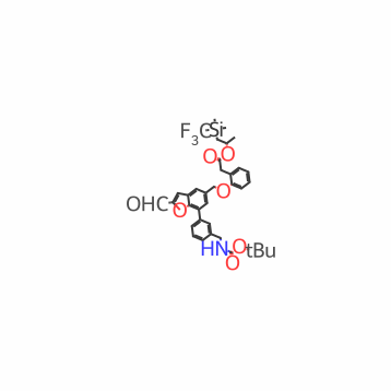 CC(C[Si](C)(C)C(F)(F)F)OC(=O)Cc1ccccc1OCc1cc(-c2cccc(CNC(=O)OC(C)(C)C)c2)c2oc(C=O)cc2c1